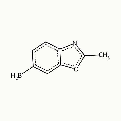 Bc1ccc2nc(C)oc2c1